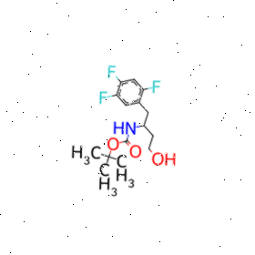 CC(C)(C)OC(=O)NC(CCO)Cc1cc(F)c(F)cc1F